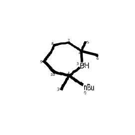 CCCCC1(C)BC(C)(C)CCCC1